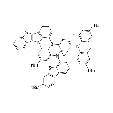 Cc1cc(C(C)(C)C)ccc1N(C1=CC=C2B3C4=CCCc5c4n(c4c5sc5ccccc54)C4C=C(C(C)(C)C)C=C(C34)N(C3=c4sc5cc(C(C)(C)C)ccc5c4=CCC3)C23CC13)c1ccc(C(C)(C)C)cc1C